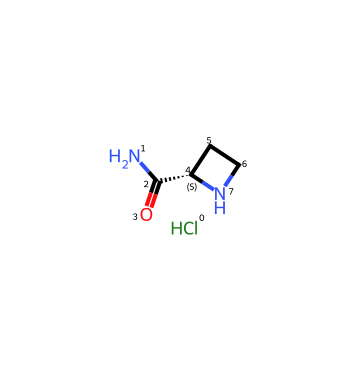 Cl.NC(=O)[C@@H]1CCN1